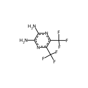 Nc1nc(C(F)(F)F)c(C(F)(F)F)nc1N